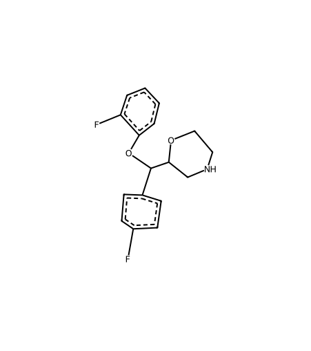 Fc1ccc(C(Oc2ccccc2F)C2CNCCO2)cc1